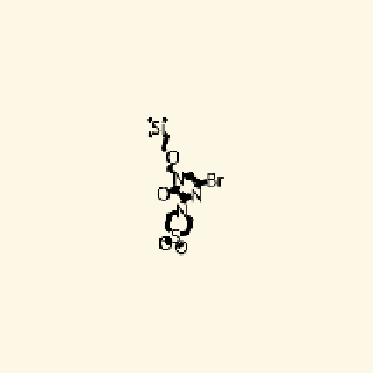 C[Si](C)(C)CCOCn1cc(Br)nc(N2CCS(=O)(=O)CC2)c1=O